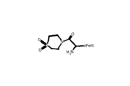 CCCCCC(N)C(=O)N1CCS(=O)(=O)CC1